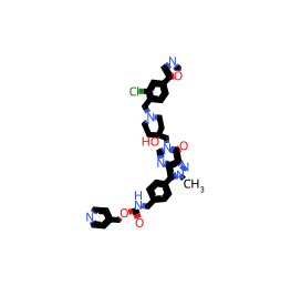 Cn1nc2c(=O)n(CC3(O)CCN(Cc4ccc(-c5cnco5)cc4Cl)CC3)cnc2c1-c1ccc(CNC(=O)OCc2ccncc2)cc1